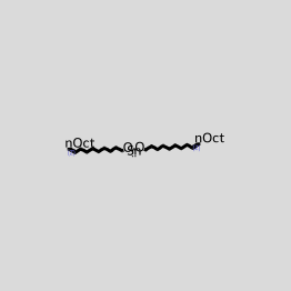 CCCCCCCC/C=C\CCCCCCCC[O][Sn][O]CCCCCCCC/C=C\CCCCCCCC